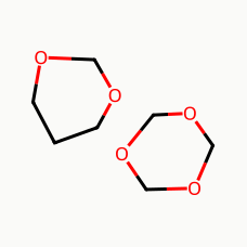 C1COCOC1.C1OCOCO1